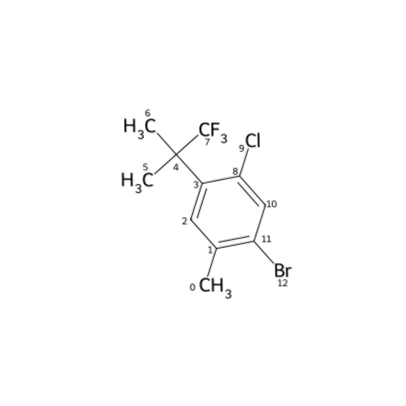 Cc1cc(C(C)(C)C(F)(F)F)c(Cl)cc1Br